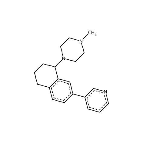 CN1CCN(C2CCCc3ccc(-c4cccnc4)cc32)CC1